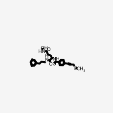 COCC#Cc1ccc(C(=O)NC(CCC(=O)NO)C(=O)NCCCc2ccccc2)cc1